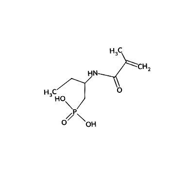 C=C(C)C(=O)NC(CC)CP(=O)(O)O